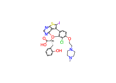 Cc1c(-c2c(I)sc3ncnc(O[C@H](Cc4ccccc4O)C(=O)O)c23)ccc(OCCN2CCN(C)CC2)c1Cl